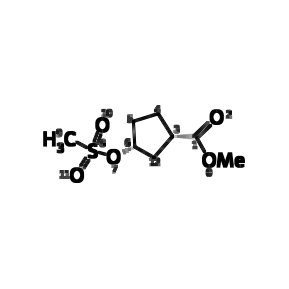 COC(=O)[C@H]1CC[C@@H](OS(C)(=O)=O)C1